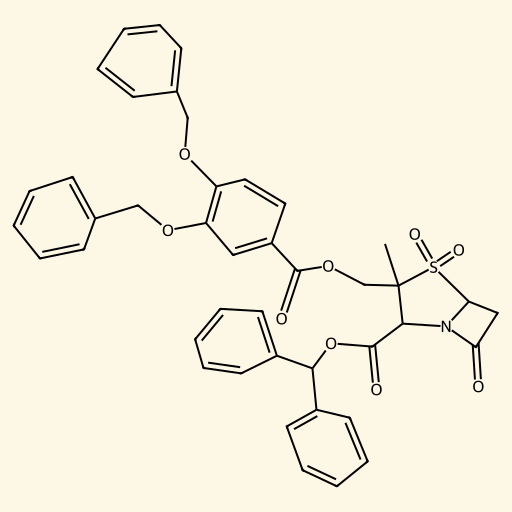 CC1(COC(=O)c2ccc(OCc3ccccc3)c(OCc3ccccc3)c2)C(C(=O)OC(c2ccccc2)c2ccccc2)N2C(=O)CC2S1(=O)=O